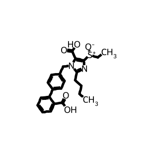 CCCCc1nc([S+]([O-])CC)c(C(=O)O)n1Cc1ccc(-c2ccccc2C(=O)O)cc1